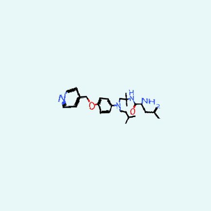 CC(C)CCN(CC(C)(C)NC(=O)C(N)CC(C)C)c1ccc(OCc2ccncc2)cc1